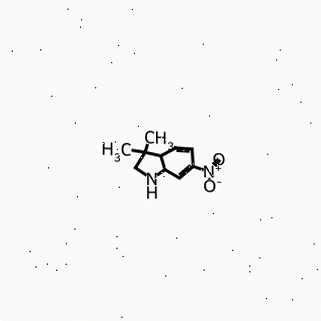 CC1(C)CNC2C=C([N+](=O)[O-])C=CC21